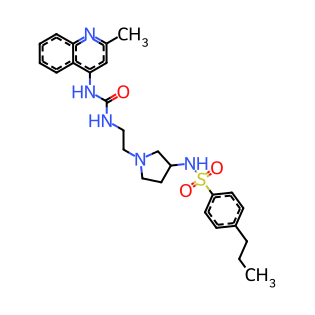 CCCc1ccc(S(=O)(=O)NC2CCN(CCNC(=O)Nc3cc(C)nc4ccccc34)C2)cc1